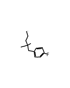 [CH2]CCC(C)(C)Cc1ccc(F)cc1